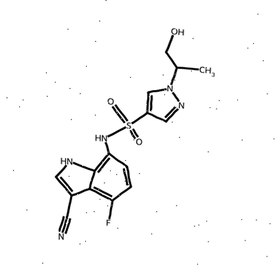 CC(CO)n1cc(S(=O)(=O)Nc2ccc(F)c3c(C#N)c[nH]c23)cn1